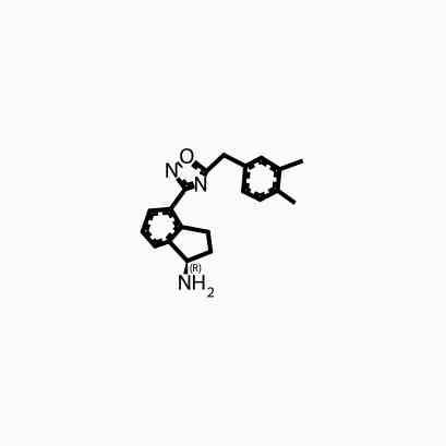 Cc1ccc(Cc2nc(-c3cccc4c3CC[C@H]4N)no2)cc1C